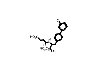 C[C@@H](C(=O)O)C(Cc1ccc(-c2cccc(Cl)c2)cc1)NC(=O)CCC(=O)O